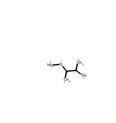 CC(O)C(C)OO